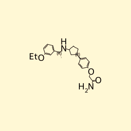 CCOc1cccc([C@@H](C)NC2CC[C@@H](c3ccc(OCC(N)=O)cc3)C2)c1